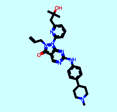 C=CCn1c(=O)c2cnc(Nc3ccc(C4CCN(C)CC4)cc3)nc2n1-c1cccc(CC(C)(C)O)n1